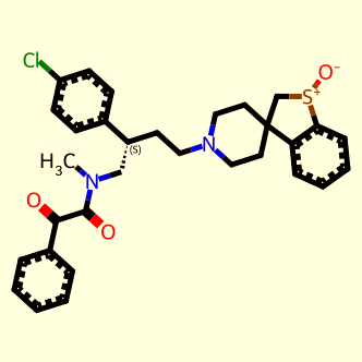 CN(C[C@@H](CCN1CCC2(CC1)C[S+]([O-])c1ccccc12)c1ccc(Cl)cc1)C(=O)C(=O)c1ccccc1